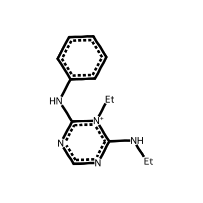 CCNc1ncnc(Nc2ccccc2)[n+]1CC